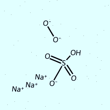 O=S(=O)([O-])O.[Na+].[Na+].[Na+].[O-][O-]